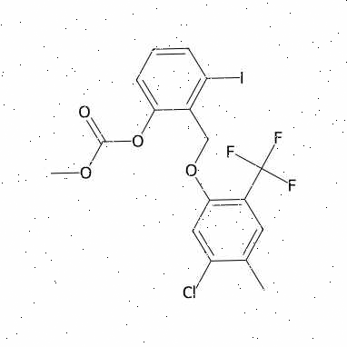 COC(=O)Oc1cccc(I)c1COc1cc(Cl)c(C)cc1C(F)(F)F